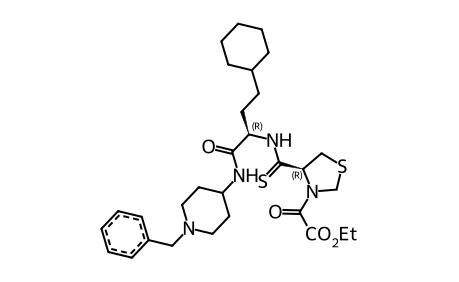 CCOC(=O)C(=O)N1CSC[C@@H]1C(=S)N[C@H](CCC1CCCCC1)C(=O)NC1CCN(Cc2ccccc2)CC1